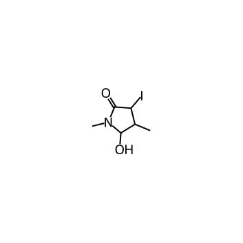 CC1C(I)C(=O)N(C)C1O